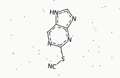 N#CSc1ncc2[nH]cnc2n1